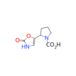 O=C(O)N1CCCC1c1c[nH]c(=O)o1